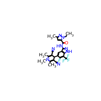 CCn1nc(C)cc1C(=O)Nc1n[nH]c2c(C(F)(F)F)c(F)c(C3C(C#N)=C(C)N(C)C(C)=C3C#N)cc12